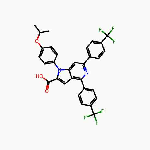 CC(C)Oc1ccc(-n2c(C(=O)O)cc3c(-c4ccc(C(F)(F)F)cc4)nc(-c4ccc(C(F)(F)F)cc4)cc32)cc1